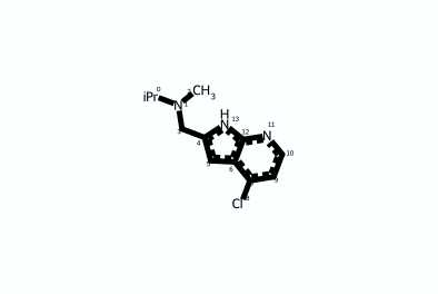 CC(C)N(C)Cc1cc2c(Cl)ccnc2[nH]1